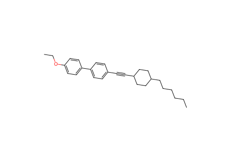 CCCCCCC1CCC(C#Cc2ccc(-c3ccc(OCC)cc3)cc2)CC1